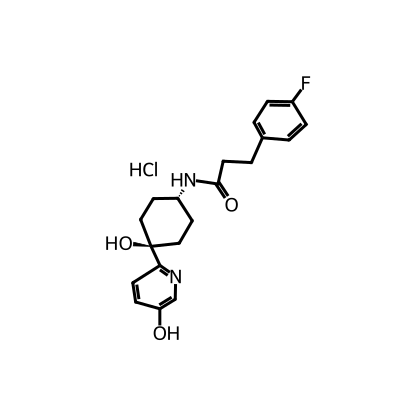 Cl.O=C(CCc1ccc(F)cc1)N[C@H]1CC[C@@](O)(c2ccc(O)cn2)CC1